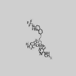 CNc1ncnc2c1ccn2[C@@H]1C[C@H](CCc2ccc3ccc(NCC(F)(F)F)nc3c2)[C@H]2OC(C)(C)O[C@H]21